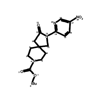 CC(C)(C)OC(=O)N1CCC2(CC1)CC(=O)N(c1ccc([N+](=O)[O-])cn1)C2